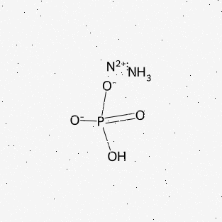 N.O=P([O-])([O-])O.[N+2]